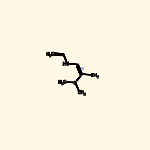 C=CN/C=C(/C)N(C)C